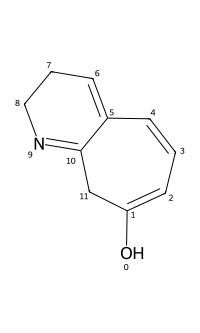 OC1=CC=CC2=CCCN=C2C1